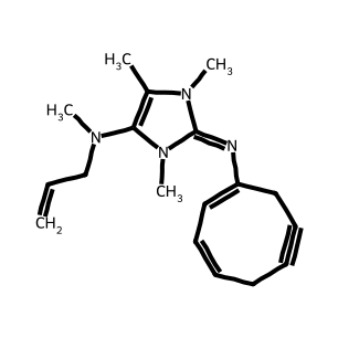 C=CCN(C)c1c(C)n(C)/c(=N/C2=C/C=C\CC#CC2)n1C